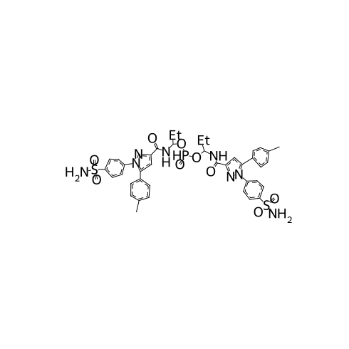 CCC(NC(=O)c1cc(-c2ccc(C)cc2)n(-c2ccc(S(N)(=O)=O)cc2)n1)O[PH](=O)OC(CC)NC(=O)c1cc(-c2ccc(C)cc2)n(-c2ccc(S(N)(=O)=O)cc2)n1